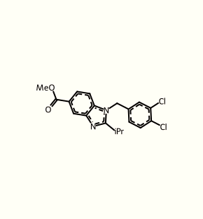 COC(=O)c1ccc2c(c1)nc(C(C)C)n2Cc1ccc(Cl)c(Cl)c1